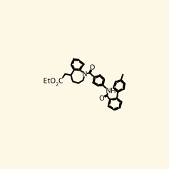 CCOC(=O)CC1CCCN(C(=O)c2ccc(NC(=O)c3ccccc3-c3ccc(C)cc3)cc2)c2ccccc21